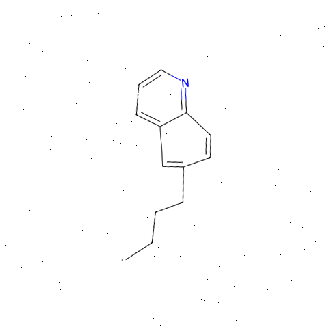 [CH2]CCCc1ccc2ncccc2c1